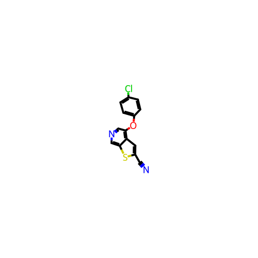 N#Cc1cc2c(Oc3ccc(Cl)cc3)cncc2s1